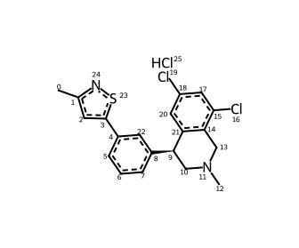 Cc1cc(-c2cccc([C@@H]3CN(C)Cc4c(Cl)cc(Cl)cc43)c2)sn1.Cl